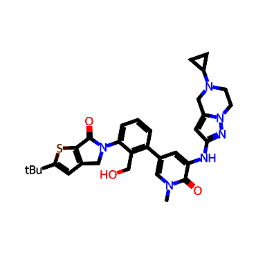 Cn1cc(-c2cccc(N3Cc4cc(C(C)(C)C)sc4C3=O)c2CO)cc(Nc2cc3n(n2)CCN(C2CC2)C3)c1=O